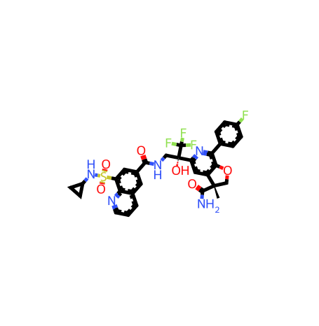 C[C@]1(C(N)=O)COc2c1cc([C@@](O)(CNC(=O)c1cc(S(=O)(=O)NC3CC3)c3ncccc3c1)C(F)(F)F)nc2-c1ccc(F)cc1